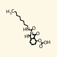 CCCCCCCCNC(=O)n1[nH]c2cccc(OC(=O)O)c2c1=O